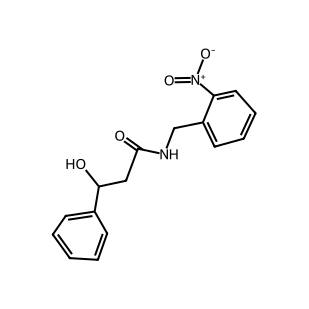 O=C(CC(O)c1ccccc1)NCc1ccccc1[N+](=O)[O-]